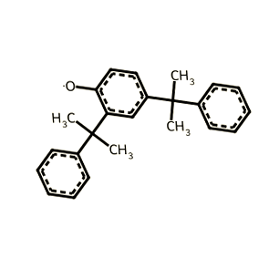 CC(C)(c1ccccc1)c1ccc([O])c(C(C)(C)c2ccccc2)c1